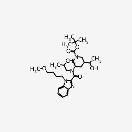 COCCCCn1c(C(=O)N(CC(C)C)C2CC(C(C)O)CN(C(=O)OC(C)(C)C)C2)nc2ccccc21